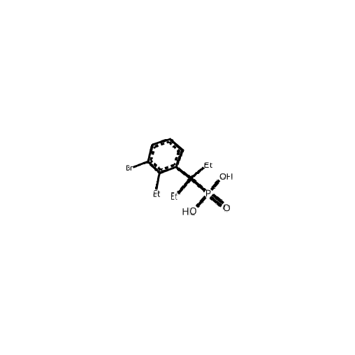 CCc1c(Br)cccc1C(CC)(CC)P(=O)(O)O